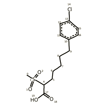 CS(=O)(=O)C(CCCCCc1ccc(Cl)cc1)C(=O)O